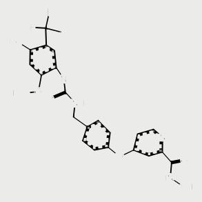 CNC(=O)c1cc(Oc2ccc(CNC(=O)Nc3cc(C(F)(F)F)c(C)cc3OC)cc2)ccn1